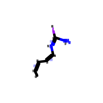 C\C=C/C=C\N=C(/N)I